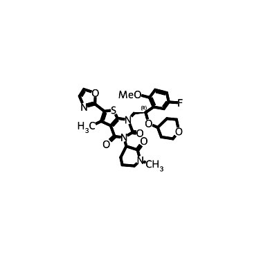 COc1ccc(F)cc1[C@H](Cn1c(=O)n(C2CCCN(C)C2=O)c(=O)c2c(C)c(-c3ncco3)sc21)OC1CCOCC1